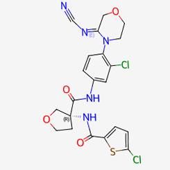 N#C/N=C1\COCCN1c1ccc(NC(=O)[C@@]2(NC(=O)c3ccc(Cl)s3)CCOC2)cc1Cl